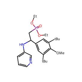 CCOP(=O)(CC(Nc1cccnc1)c1cc(C(C)(C)C)c(OC)c(C(C)(C)C)c1)OCC